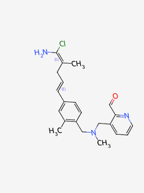 C/C(C/C=C/c1ccc(CN(C)Cc2cccnc2C=O)c(C)c1)=C(/N)Cl